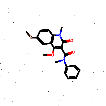 COc1c(C(=O)N(C)c2ccccc2)c(=O)n(C)c2ccc(SC)cc12